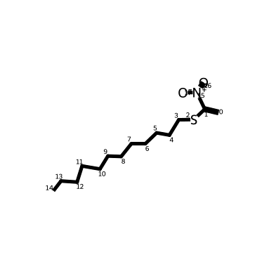 C=C(SCCCCCCCCCCCC)[N+](=O)[O-]